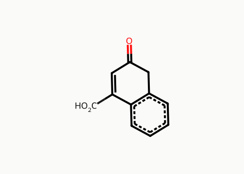 O=C1C=C(C(=O)O)c2ccccc2C1